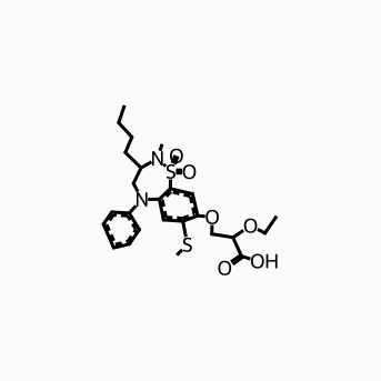 CCCCC1CN(c2ccccc2)c2cc(SC)c(OCC(OCC)C(=O)O)cc2S(=O)(=O)N1C